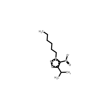 CCCCCCn1nnc(C(C)C)c1[N+](=O)[O-]